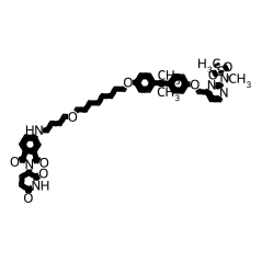 CN(c1nccc(COc2ccc(C(C)(C)c3ccc(OCCCCCCCCOCCCCNc4ccc5c(c4)C(=O)N(C4CCC(=O)NC4=O)C5=O)cc3)cc2)n1)S(C)(=O)=O